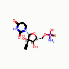 C#C[C@@]1(O)[C@H](O)[C@@H](COP(N)(O)=S)O[C@H]1n1ccc(=O)[nH]c1=O